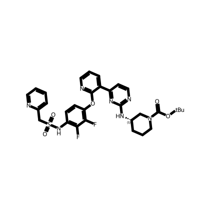 CC(C)(C)OC(=O)N1CCC[C@H](Nc2nccc(-c3cccnc3Oc3ccc(NS(=O)(=O)Cc4ccccn4)c(F)c3F)n2)C1